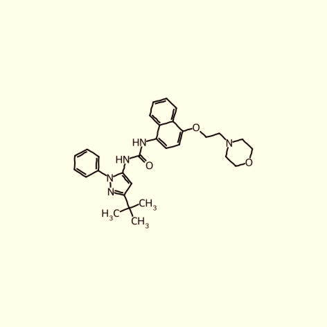 CC(C)(C)c1cc(NC(=O)Nc2ccc(OCCN3CCOCC3)c3ccccc23)n(-c2ccccc2)n1